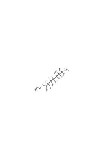 C=CCOC(F)C(F)(F)C(F)(F)C(F)(F)C(F)(F)C(F)(F)C(F)(F)C(F)(F)F